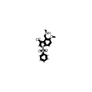 CNCc1c(OC)ccc2c1c(Cl)cn2S(=O)(=O)c1ccccc1